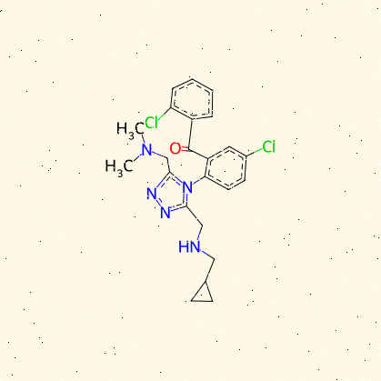 CN(C)Cc1nnc(CNCC2CC2)n1-c1ccc(Cl)cc1C(=O)c1ccccc1Cl